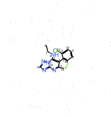 CCNc1c(-c2c(F)cccc2Cl)c(C)nc2ncnn12